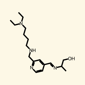 CCN(CC)CCCCNCc1cc(C=NC(C)CO)ccn1